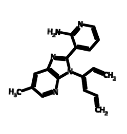 C=C/C=C(\C=C)n1c(-c2cccnc2N)nc2cc(C)cnc21